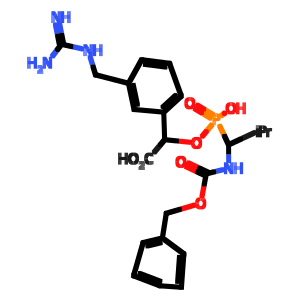 CC(C)C(NC(=O)OCc1ccccc1)P(=O)(O)OC(C(=O)O)c1cccc(CNC(=N)N)c1